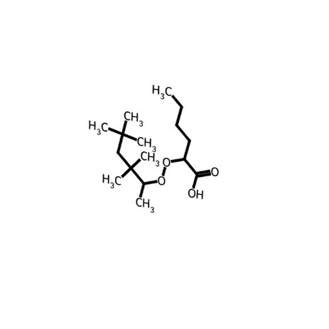 CCCCC(OOC(C)C(C)(C)CC(C)(C)C)C(=O)O